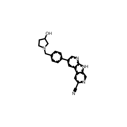 N#Cc1cc2c(cn1)[nH]c1ncc(-c3ccc(CN4CCC(O)C4)cc3)cc12